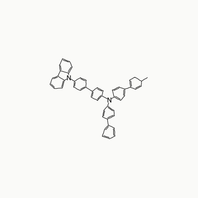 CC1C=CC(c2ccc(N(c3ccc(-c4ccccc4)cc3)c3ccc(-c4ccc(-n5c6ccccc6c6ccccc65)cc4)cc3)cc2)=CC1